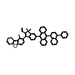 C=CC1=C(c2ccc3oc4c(c3c2C)CCC=C4)c2ccc(-c3c4ccccc4c(-c4ccc(-c5ccccc5)c5ccccc45)c4ccccc34)cc2C1(C)C